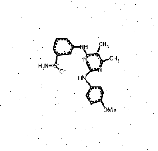 COc1ccc(Nc2nc(C)c(C)c(Nc3cccc([S+](N)[O-])c3)n2)cc1